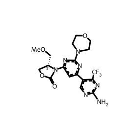 COC[C@H]1COC(=O)N1c1cc(-c2cnc(N)nc2C(F)(F)F)nc(N2CCOCC2)n1